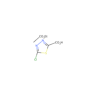 CCOC(C)=O.O=C(O)c1nnc(Cl)s1